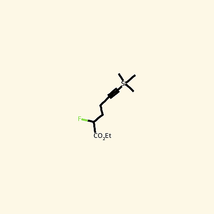 CCOC(=O)C(F)CCC#C[Si](C)(C)C